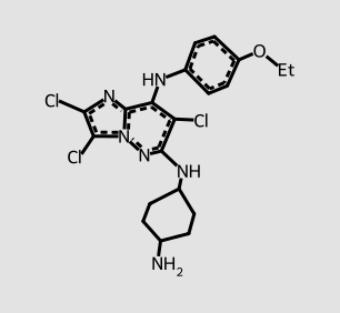 CCOc1ccc(Nc2c(Cl)c(NC3CCC(N)CC3)nn3c(Cl)c(Cl)nc23)cc1